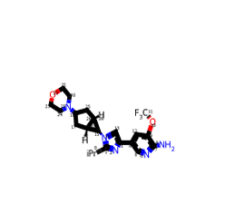 CC(C)c1nc(-c2cnc(N)c(OC(F)(F)F)c2)cn1[C@H]1[C@@H]2CC(N3CCOCC3)C[C@@H]21